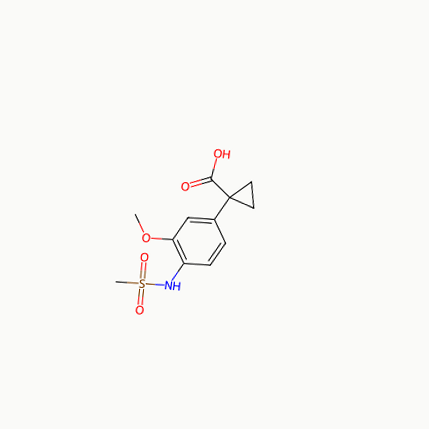 COc1cc(C2(C(=O)O)CC2)ccc1NS(C)(=O)=O